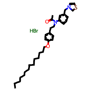 Br.CCCCCCCCCCCCCCOc1ccc(CCN(C(C)=O)c2cccc(CN3C=CSC3)c2)cc1